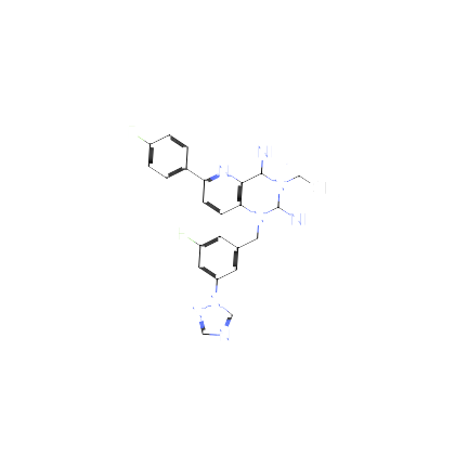 NC1c2nc(-c3ccc(F)cc3)ccc2N(Cc2cc(F)cc(-n3cncn3)c2)C(N)N1CC(F)(F)F